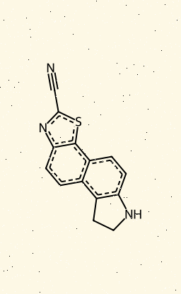 N#Cc1nc2ccc3c4c(ccc3c2s1)NCC4